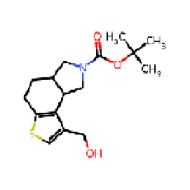 CC(C)(C)OC(=O)N1CC2CCc3scc(CO)c3C2C1